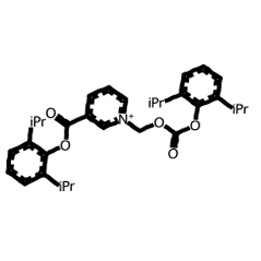 CC(C)c1cccc(C(C)C)c1OC(=O)OC[n+]1cccc(C(=O)Oc2c(C(C)C)cccc2C(C)C)c1